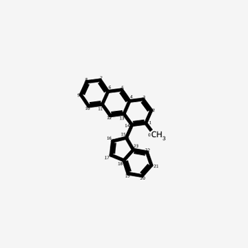 Cc1ccc2cc3ccccc3cc2c1[C]1C=Cc2ccccc21